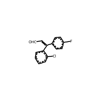 O=CC=C(c1ccc(F)cc1)c1ccccc1Cl